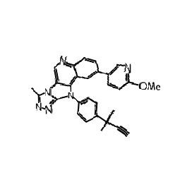 C#CC(C)(C)c1ccc(-n2c3c4cc(-c5ccc(OC)nc5)ccc4ncc3n3c(C)nnc23)cc1